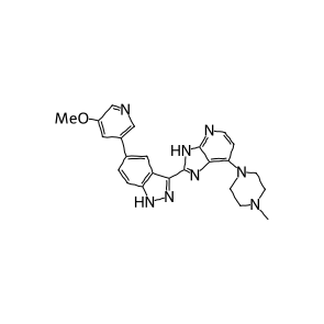 COc1cncc(-c2ccc3[nH]nc(-c4nc5c(N6CCN(C)CC6)ccnc5[nH]4)c3c2)c1